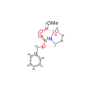 COC(=O)[C@@H]1OCCCN1C(=O)OCc1ccccc1